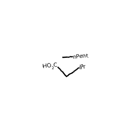 CC(C)CC(=O)O.CCCCCC